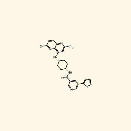 O=C(N[C@H]1CC[C@@H](Nc2cc(C(F)(F)F)nc3ccc(Cl)cc23)CC1)c1cncc(-c2cccs2)c1